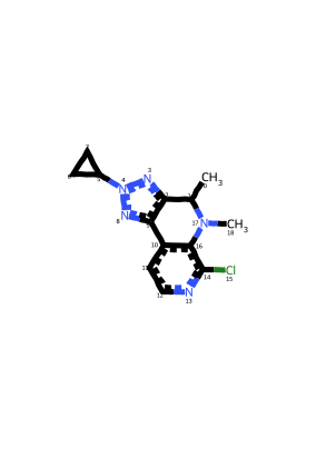 CC1c2nn(C3CC3)nc2-c2ccnc(Cl)c2N1C